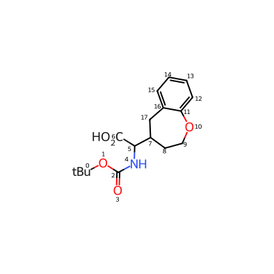 CC(C)(C)OC(=O)NC(C(=O)O)C1CCOc2ccccc2C1